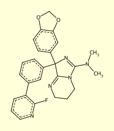 CN(C)C1=NC(c2cccc(-c3cccnc3F)c2)(c2ccc3c(c2)OCO3)C2=NCCCN12